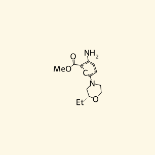 CC[C@@H]1CN(c2ccc(N)c(C(=O)OC)c2)CCO1